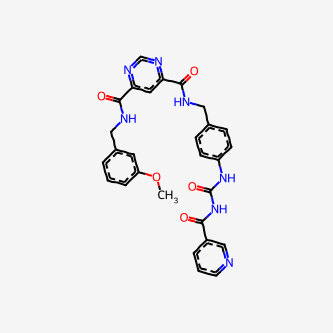 COc1cccc(CNC(=O)c2cc(C(=O)NCc3ccc(NC(=O)NC(=O)c4cccnc4)cc3)ncn2)c1